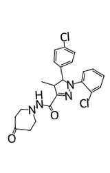 CC1C(C(=O)NN2CCC(=O)CC2)=NN(c2ccccc2Cl)C1c1ccc(Cl)cc1